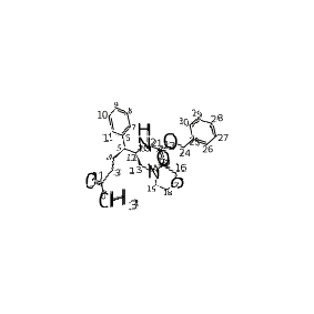 CC(=O)CC[C@@H](c1ccccc1)[C@H](CN1CCOCC1)NC(=O)OCc1ccccc1